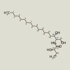 CCCCCCCCCCCCCCCC(O)C(CO)NC(=O)C(O)CC